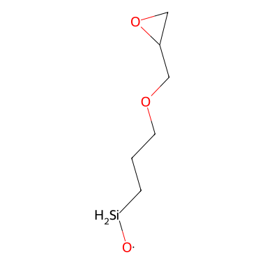 [O][SiH2]CCCOCC1CO1